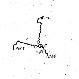 CCCCC/C=C\C/C=C\CCCCCCCCO[C@@H]1CN(C(=O)[C@@H](N)CCCNC)C[C@H]1OCCCCCCCC/C=C\C/C=C\CCCCC